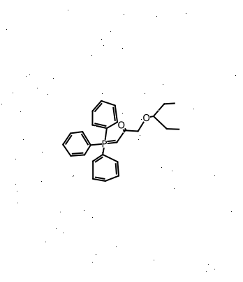 CCC(CC)OCC(=O)C=P(c1ccccc1)(c1ccccc1)c1ccccc1